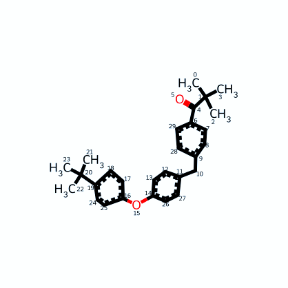 CC(C)(C)C(=O)c1ccc(Cc2ccc(Oc3ccc(C(C)(C)C)cc3)cc2)cc1